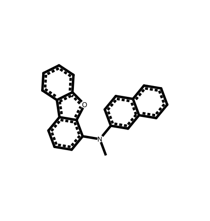 CN(c1ccc2ccccc2c1)c1cccc2c1oc1ccccc12